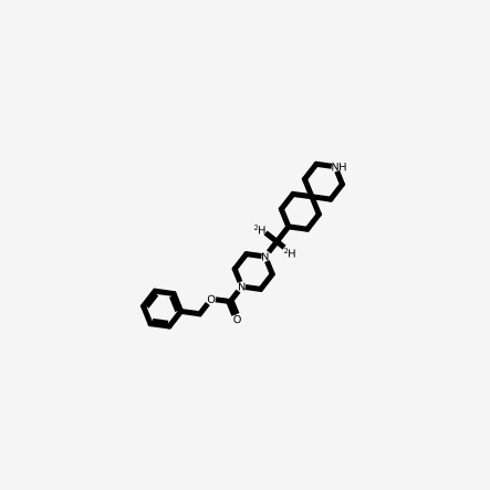 [2H]C([2H])(C1CCC2(CCNCC2)CC1)N1CCN(C(=O)OCc2ccccc2)CC1